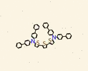 c1ccc(-c2ccc(N(c3ccc(-c4ccccc4)cc3)c3ccc(-c4ccc(-c5ccc(N(c6ccc(-c7ccccc7)cc6)c6ccc(-c7ccccc7)cc6)s5)s4)s3)cc2)cc1